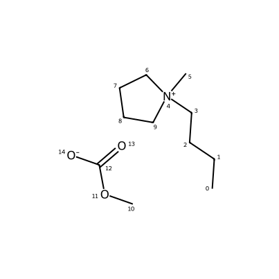 CCCC[N+]1(C)CCCC1.COC(=O)[O-]